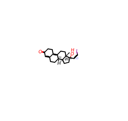 C[C@]12CCC3=C4CCC(=O)C=C4CC[C@H]3[C@@H]1CC[C@@]2(O)/C=C\I